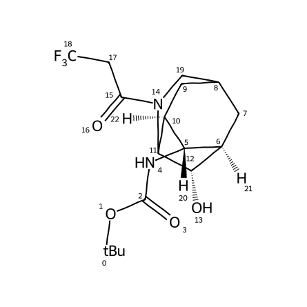 CC(C)(C)OC(=O)N[C@H]1[C@H]2CC3C[C@@H]1C([C@H]2O)N(C(=O)CC(F)(F)F)C3